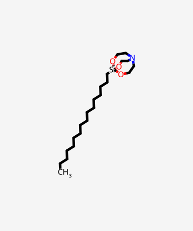 CCCCCCCCCCCCCCCC[Si]12OCCN(CCO1)CCO2